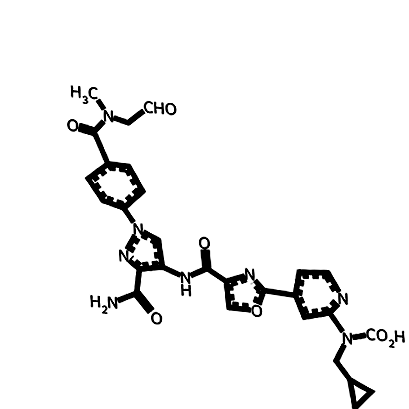 CN(CC=O)C(=O)c1ccc(-n2cc(NC(=O)c3coc(-c4ccnc(N(CC5CC5)C(=O)O)c4)n3)c(C(N)=O)n2)cc1